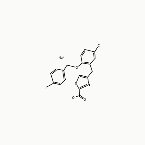 O=C([O-])c1nc(Cc2cc(Cl)ccc2OCc2ccc(Cl)cc2)cs1.[Na+]